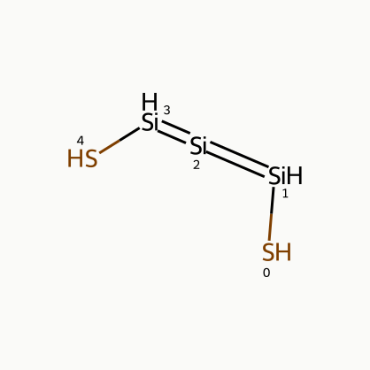 S[SiH]=[Si]=[SiH]S